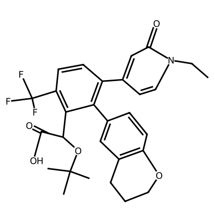 CCn1ccc(-c2ccc(C(F)(F)F)c(C(OC(C)(C)C)C(=O)O)c2-c2ccc3c(c2)CCCO3)cc1=O